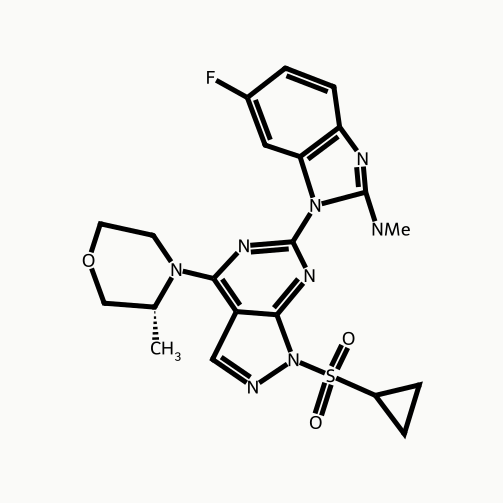 CNc1nc2ccc(F)cc2n1-c1nc(N2CCOC[C@H]2C)c2cnn(S(=O)(=O)C3CC3)c2n1